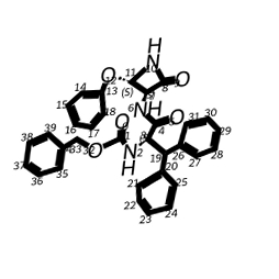 O=C(N[C@H](C(=O)N[C@@H]1C(=O)N[C@H]1Oc1ccccc1)C(c1ccccc1)c1ccccc1)OCc1ccccc1